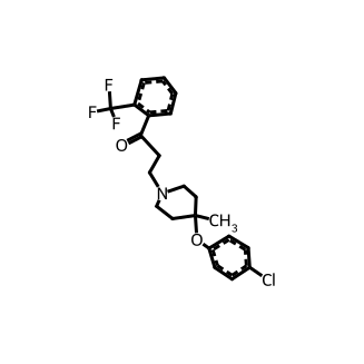 CC1(Oc2ccc(Cl)cc2)CCN(CCC(=O)c2ccccc2C(F)(F)F)CC1